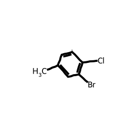 Cc1c[c]c(Cl)c(Br)c1